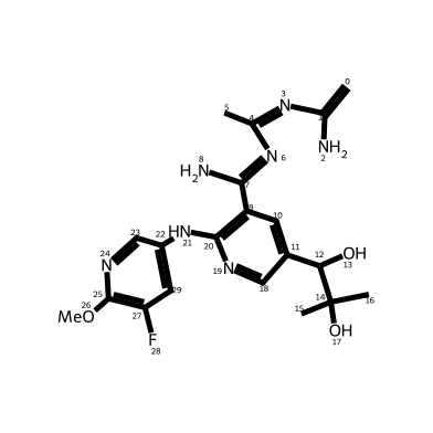 C=C(N)/N=C(C)\N=C(/N)c1cc(C(O)C(C)(C)O)cnc1Nc1cnc(OC)c(F)c1